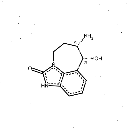 N[C@H]1CCn2c(=O)[nH]c3cccc(c32)[C@H]1O